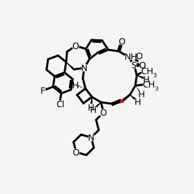 C[C@@H]1[C@@H](C)S(=O)(=O)NC(=O)c2ccc3c(c2)N(C[C@@H]2CC[C@H]2[C@@H](OCCN2CCOCC2)C2=C[C@H]1C2)C[C@@]1(CCCc2c1ccc(Cl)c2F)CO3